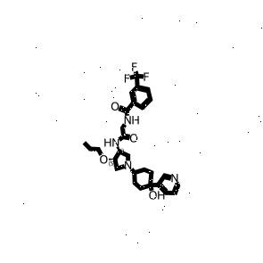 CCCO[C@H]1CN(C2CCC(O)(c3cccnc3)CC2)C[C@@H]1NC(=O)CNC(=O)c1cccc(C(F)(F)F)c1